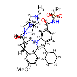 COc1ccc2c(c1)[C@@H]1C[C@]1(C(=O)N1CC34CN(C)CC3(CN(C)C4)C1)Cn1c-2c(C2CCCCC2)c2ccc(C(=O)NS(=O)(=O)C(C)C)cc21